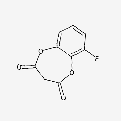 O=C1CC(=O)Oc2c(F)cccc2O1